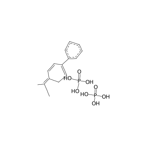 CC(C)=C1C=CC(c2ccccc2)=CC1.O=P(O)(O)O.O=P(O)(O)O